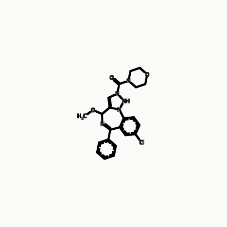 COC1N=C(c2ccccc2)c2cc(Cl)ccc2N2NN(C(=O)N3CCOCC3)C=C12